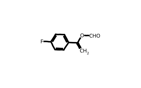 C=C(OC=O)c1ccc(F)cc1